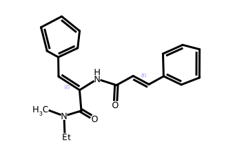 CCN(C)C(=O)/C(=C/c1ccccc1)NC(=O)/C=C/c1ccccc1